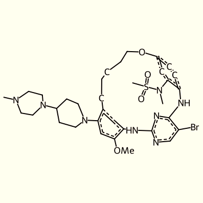 COc1cc(N2CCC(N3CCN(C)CC3)CC2)c2cc1Nc1ncc(Br)c(n1)Nc1ccc(cc1N(C)S(C)(=O)=O)OCCCCC2